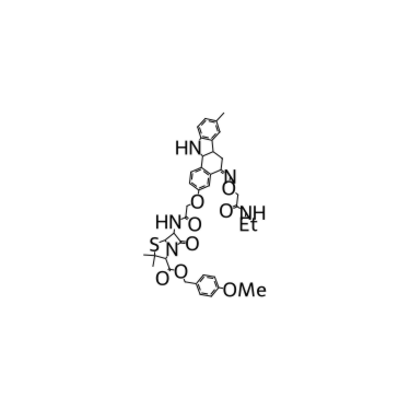 CCNC(=O)CO/N=C1/CC2c3cc(C)ccc3NC2c2ccc(OCC(=O)NC3C(=O)N4C3SC(C)(C)C4C(=O)OCc3ccc(OC)cc3)cc21